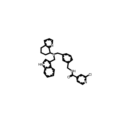 O=C(NCc1cccc(CN(Cc2c[nH]c3ccccc23)C2CCCc3cccnc32)c1)c1ccnc(Cl)c1